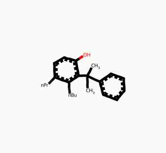 CCCCc1c(CCC)ccc(O)c1C(C)(C)c1ccccc1